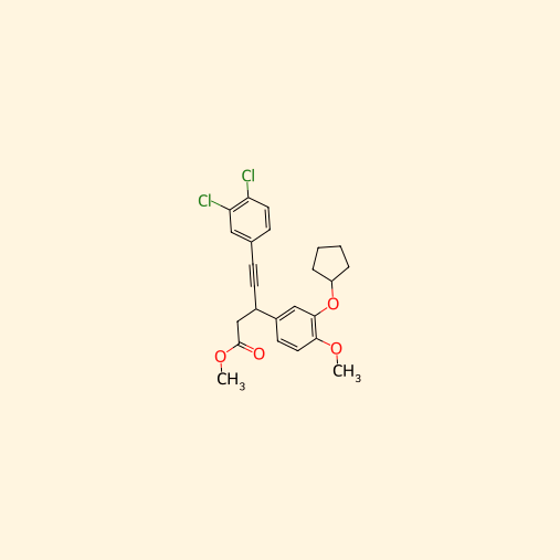 COC(=O)CC(C#Cc1ccc(Cl)c(Cl)c1)c1ccc(OC)c(OC2CCCC2)c1